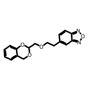 c1ccc2c(c1)COC(COCCc1ccc3nonc3c1)O2